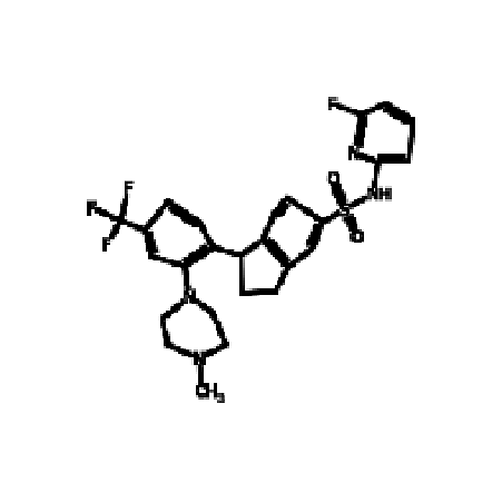 CN1CCN(c2cc(C(F)(F)F)ccc2C2CCc3cc(S(=O)(=O)Nc4cccc(F)n4)ccc32)CC1